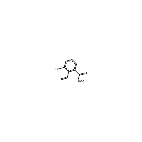 [CH2]C(C)c1cccc(C(=O)OC)c1C=C